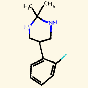 CC1(C)NCC(c2ccccc2F)CN1